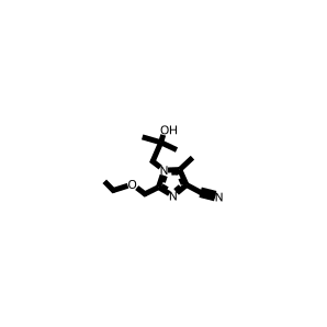 CCOCc1nc(C#N)c(C)n1CC(C)(C)O